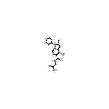 O=C(O)CNC(=O)c1ncc2c(cc(Br)n2-c2ccccc2)c1O